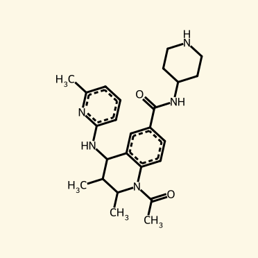 CC(=O)N1c2ccc(C(=O)NC3CCNCC3)cc2C(Nc2cccc(C)n2)C(C)C1C